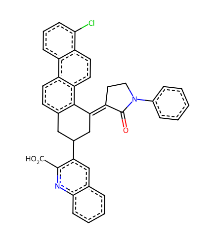 O=C(O)c1nc2ccccc2cc1C1CC(=C2CCN(c3ccccc3)C2=O)c2c(ccc3c2ccc2c(Cl)cccc23)C1